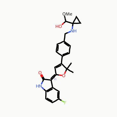 COC(O)C1(NCc2ccc(C3=C/C(=C4\C(=O)Nc5ccc(F)cc54)OC3(C)C)cc2)CC1